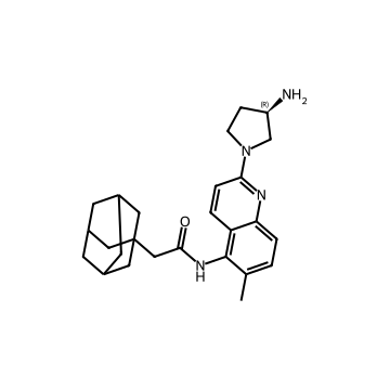 Cc1ccc2nc(N3CC[C@@H](N)C3)ccc2c1NC(=O)CC12CC3CC(CC(C3)C1)C2